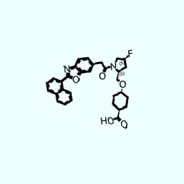 O=C(Cc1ccc2nc(-c3cccc4ccccc34)oc2c1)N1C[C@@H](F)C[C@H]1CO[C@H]1CC[C@H](C(=O)O)CC1